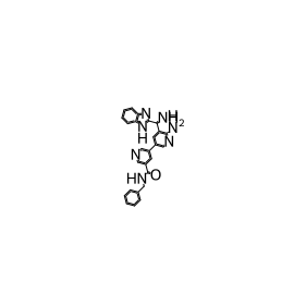 N=C(c1nc2ccccc2[nH]1)c1cc(-c2cncc(C(=O)NCc3ccccc3)c2)cnc1N